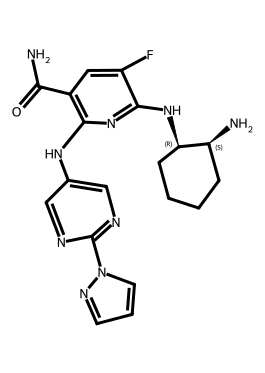 NC(=O)c1cc(F)c(N[C@@H]2CCCC[C@@H]2N)nc1Nc1cnc(-n2cccn2)nc1